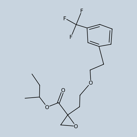 CCC(C)OC(=O)C1(CCOCCc2cccc(C(F)(F)F)c2)CO1